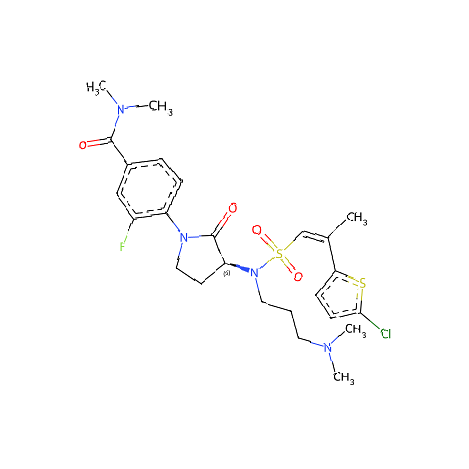 CC(=CS(=O)(=O)N(CCCN(C)C)[C@H]1CCN(c2ccc(C(=O)N(C)C)cc2F)C1=O)c1ccc(Cl)s1